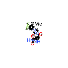 COc1cc(N2CCN(C(=O)C(C)CC3(C)NC(=O)NC3=O)CC2)cc(F)c1F